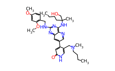 CCCCN(C)Cc1c[nH]c(=O)cc1-c1cnc2c(NC(C)(CO)CCCC)nc(NCc3ccc(OC)cc3OC)nc2c1